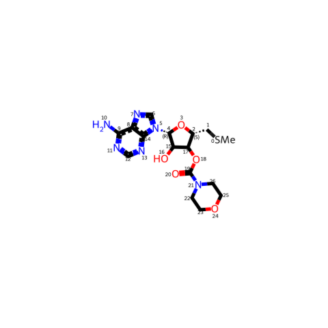 CSC[C@H]1O[C@@H](n2cnc3c(N)ncnc32)C(O)C1OC(=O)N1CCOCC1